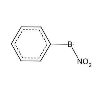 O=[N+]([O-])[B]c1ccccc1